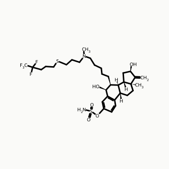 C=C1[C@H](O)C[C@H]2[C@@H]3[C@H](CCCCCN(C)CCCSCCCC(F)(F)C(F)(F)F)[C@H](O)c4cc(OS(N)(=O)=O)ccc4[C@H]3CC[C@]12C